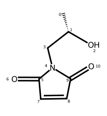 C[C@H](O)CN1C(=O)C=CC1=O